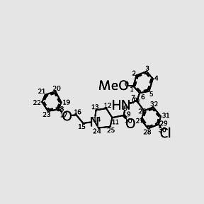 COc1ccccc1[C@H](NC(=O)C1CCN(CCOc2ccccc2)CC1)c1ccc(Cl)cc1